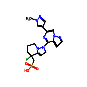 Cn1cc(-c2cn3nccc3c(N3CC=C4N3CCCC4(F)CS(=O)(=O)O)n2)cn1